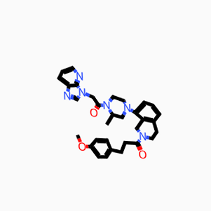 COc1ccc(CCC(=O)N2CCc3cccc(N4CCN(C(=O)Cn5cnc6cccnc65)C(C)C4)c3C2)cc1